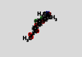 COC(=O)CC[C@@H]1COc2cc(O[C@@H]3CCc4c(Oc5ccc(-c6c(C)noc6C)cc5F)ccc(F)c43)ccc21